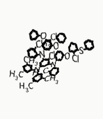 Cc1cc(C)cc(N(c2cc(C)cc(C)c2)c2cc(N(c3cccc(Oc4cccc(Sc5ccccc5)c4Cl)c3)c3ccccc3C)c(Cl)c(N(c3cc(Oc4ccccc4)c(Cl)c(Oc4ccccc4)c3)c3ccccc3C)c2)c1